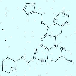 CC(C)C[C@H](NC(=O)CO[C@H]1CCCCO1)C(=O)NC(Cc1ccccc1)C(=O)CSCc1ccco1